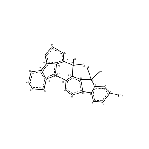 CC1(C)c2cc(Cl)ccc2-c2ccc3c(c21)C(C)(C)c1cccc2c4ccccc4n-3c12